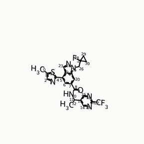 Cc1cnc(-c2cc(C(=O)NC(C)c3cnc(C(F)(F)F)nc3)cc3c2cnn3CC2(F)CC2)s1